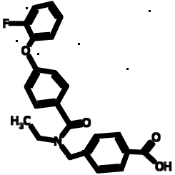 CCN(Cc1ccc(C(=O)O)cc1)C(=O)c1ccc(Oc2ccccc2F)cc1